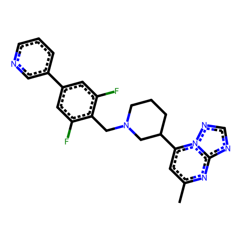 Cc1cc(C2CCCN(Cc3c(F)cc(-c4cccnc4)cc3F)C2)n2ncnc2n1